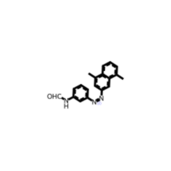 Cc1cc(/N=N\c2cccc(NC=O)c2)cc2c(C)cccc12